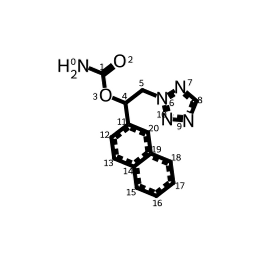 NC(=O)OC(Cn1ncnn1)c1ccc2ccccc2c1